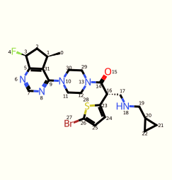 C[C@@H]1C[C@H](F)c2ncnc(N3CCN(C(=O)[C@H](CNCC4CC4)c4ccc(Br)s4)CC3)c21